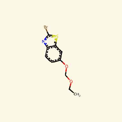 CCOCOc1ccc2nc(Br)sc2c1